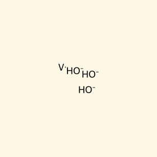 [OH-].[OH-].[OH-].[V]